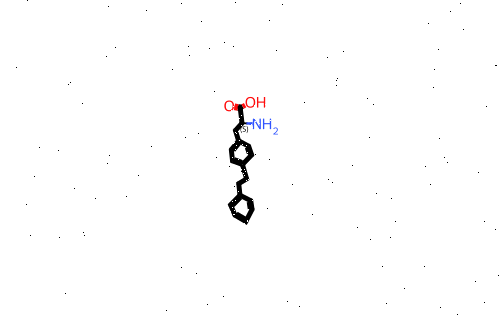 N[C@@H](Cc1ccc(CCc2ccccc2)cc1)C(=O)O